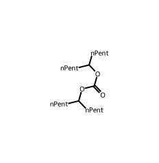 CCCCCC(CCCCC)OC(=O)OC(CCCCC)CCCCC